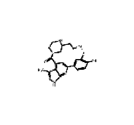 CCCC1CN(C(=O)c2cc(-c3ccc(O)c(F)c3)nc3[nH]nc(C)c23)CCN1